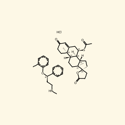 CC(=O)S[C@@H]1CC2=CC(=O)CC[C@]2(C)[C@H]2CC[C@@]3(C)[C@@H](CC[C@@]34CCC(=O)O4)[C@H]12.CNCC[C@@H](Oc1ccccc1C)c1ccccc1.Cl